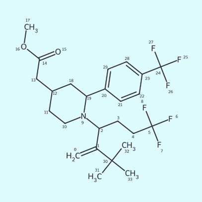 C=C(C(CCC(F)(F)F)N1CCC(CC(=O)OC)CC1c1ccc(C(F)(F)F)cc1)C(C)(C)C